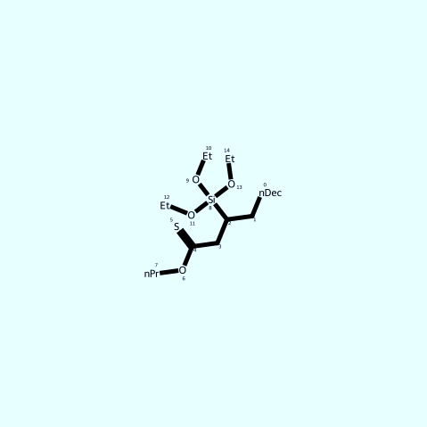 CCCCCCCCCCCC(CC(=S)OCCC)[Si](OCC)(OCC)OCC